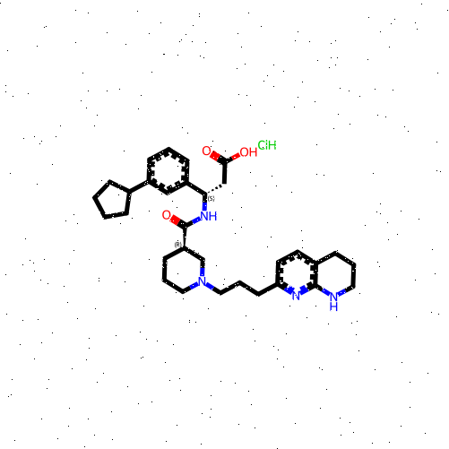 Cl.O=C(O)C[C@H](NC(=O)[C@@H]1CCCN(CCCc2ccc3c(n2)NCCC3)C1)c1cccc(C2CCCC2)c1